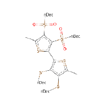 CCCCCCCCCCSc1c(C)sc(-c2sc(C)c(S(=O)(=O)CCCCCCCCCC)c2S(=O)(=O)CCCCCCCCCC)c1SCCCCCCCCCC